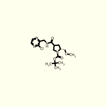 COC[C@H]1CC(C(=O)NCc2nccnc2Cl)CN1C(=O)OC(C)(C)C